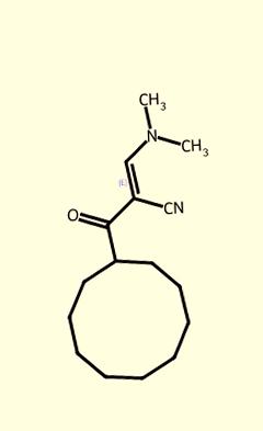 CN(C)/C=C(\C#N)C(=O)C1CCCCCCCCC1